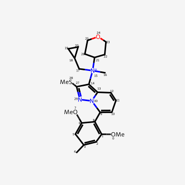 COc1cc(C)cc(OC)c1-c1cccc2c([N+](C)(CC3CC3)C3CCOCC3)c(SC)nn12